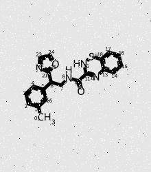 Cc1cccc(C(CNC(=O)C2=Nc3ccccc3SN2)c2ncco2)c1